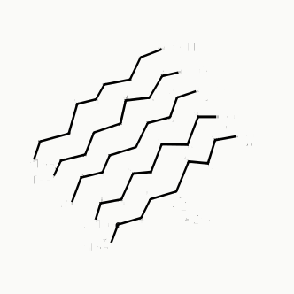 CCCCCCCCCCCCCCCCCC(=O)O.CCCCCCCCCCCCCCCCCC(=O)[O-].CCCCCCCCCCCCCCCCCC(=O)[O-].CCCCCCCCCCCCCCCCCC(=O)[O-].CCCCCCCCCCCCCCCCCC(=O)[O-].[Zn+2].[Zn+2]